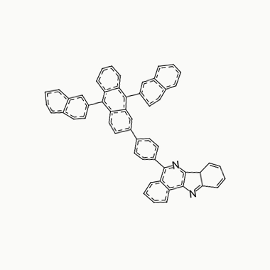 C1=CC2=Nc3c(nc(-c4ccc(-c5ccc6c(-c7ccc8ccccc8c7)c7ccccc7c(-c7ccc8ccccc8c7)c6c5)cc4)c4ccccc34)C2C=C1